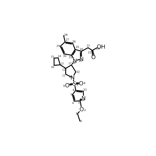 CCOc1ccc(S(=O)(=O)N2CC(C3CCC3)[C@@H](n3nc(CC(=O)O)c4cc(C)ccc43)C2)cn1